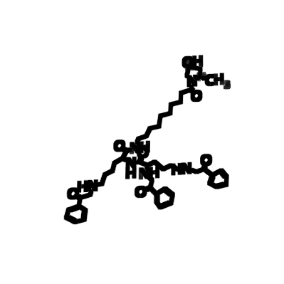 C[C@@H]1C[C@@H](O)CN1C(=O)CCCCCCCCCNC(=O)C(CCCCNCC(=O)c1ccccc1)NC(=O)C(CCCCNCC(=O)c1ccccc1)NCC(=O)c1ccccc1